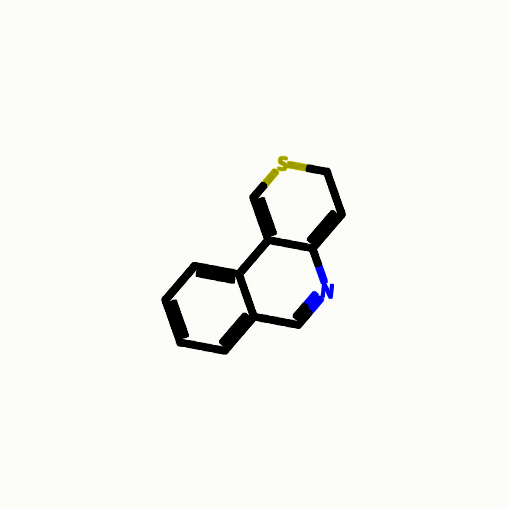 C1=c2ncc3ccccc3c2=CSC1